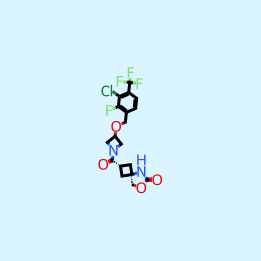 O=C1N[C@]2(CO1)C[C@@H](C(=O)N1CC(OCc3ccc(C(F)(F)F)c(Cl)c3F)C1)C2